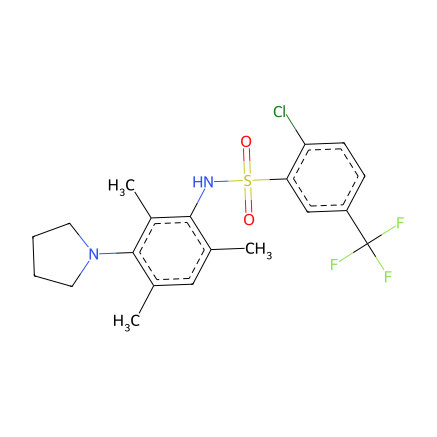 Cc1cc(C)c(N2CCCC2)c(C)c1NS(=O)(=O)c1cc(C(F)(F)F)ccc1Cl